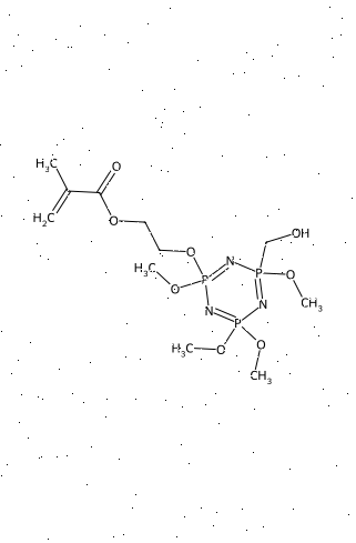 C=C(C)C(=O)OCCOP1(OC)=NP(CO)(OC)=NP(OC)(OC)=N1